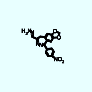 NN=CC1=NN=C(c2ccc([N+](=O)[O-])cc2)c2cc3c(cc2C1)OCO3